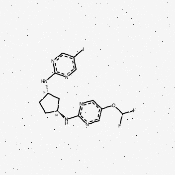 FC(F)Oc1cnc(N[C@H]2CC[C@H](Nc3ncc(I)cn3)C2)nc1